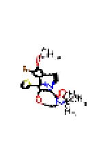 COc1cc2c(cc1Br)-c1c(-c3cccs3)c3c(n1CC2)C(=O)N(C(C)(C)C)CCCOC3